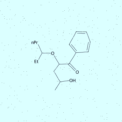 CCCC(CC)OC(CC(C)O)C(=O)c1ccccc1